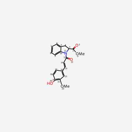 COC(=O)C1Cc2ccccc2N1C(=O)C=Cc1ccc(O)c(OC)c1